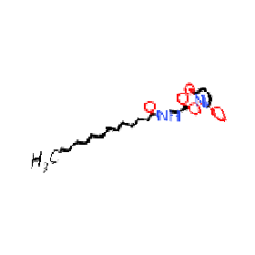 CCCCCCCCCCCCCC(=O)NCCC(=O)ON1C(=O)CCC1=O